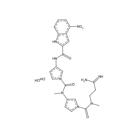 CN(CCC(=N)N)C(=O)n1ccc(N(C)C(=O)n2ccc(NC(=O)c3cc4c([N+](=O)[O-])cccc4[nH]3)c2)c1.Cl.Cl